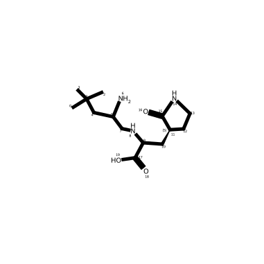 CC(C)(C)CC(N)CNC(C[C@@H]1CCNC1=O)C(=O)O